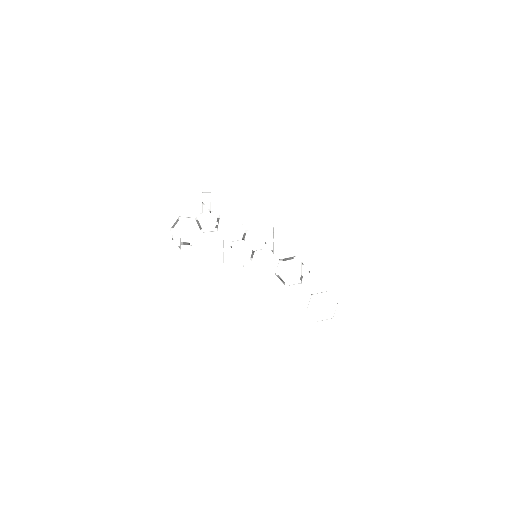 O=C(Nc1ccc(C2CCCCC2)nc1)C(=O)Nc1c[nH]c2ccncc12